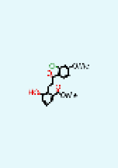 COC(=O)c1cccc(O)c1CCC(=O)c1ccc(OC)cc1Cl